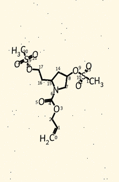 C=CCOC(=O)N1CC(OS(C)(=O)=O)CC1CCOS(C)(=O)=O